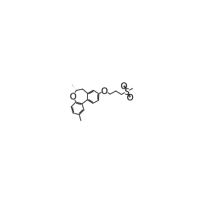 Cc1ccc2c(c1)-c1ccc(OCCCS(C)(=O)=O)cc1C[C@@H](C)O2